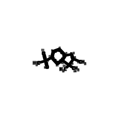 CC1=Nc2ccc(S(C)(=O)=O)cc2C1(C)C